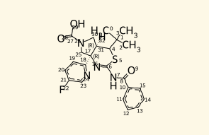 CC(C)(C)C1SC(NC(=O)c2ccccc2)=N[C@@]2(c3ccc(F)cn3)CN(C(=O)O)C[C@@H]12